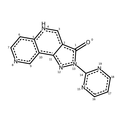 O=c1c2c[nH]c3ccncc3c-2nn1-c1ncccn1